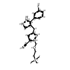 CS(C)(C)CCOCn1nc(Cc2cn[nH]c2-c2cccc(F)c2)cc1C#N